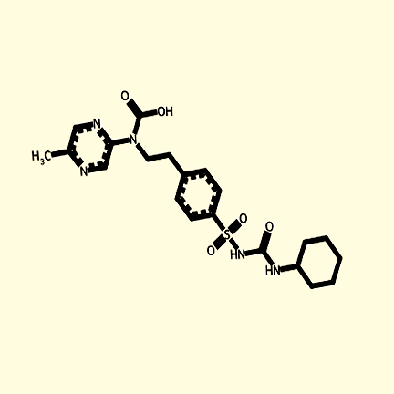 Cc1cnc(N(CCc2ccc(S(=O)(=O)NC(=O)NC3CCCCC3)cc2)C(=O)O)cn1